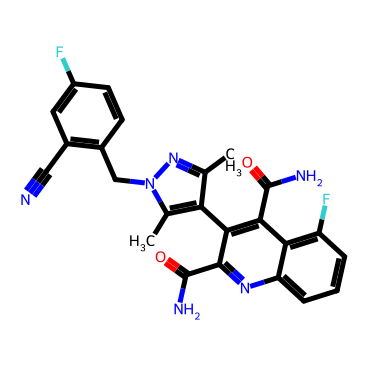 Cc1nn(Cc2ccc(F)cc2C#N)c(C)c1-c1c(C(N)=O)nc2cccc(F)c2c1C(N)=O